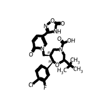 CC(C)(C)C1CN(C(=O)O)C[C@H](Cn2cc(-c3noc(=O)[nH]3)ccc2=O)[C@H](c2ccc(Cl)c(F)c2)O1